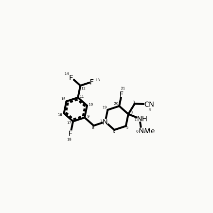 CNNC1(CC#N)CCN(Cc2cc(C(F)F)ccc2F)CC1F